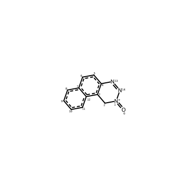 O=[N+]1Cc2c(ccc3ccccc23)N=N1